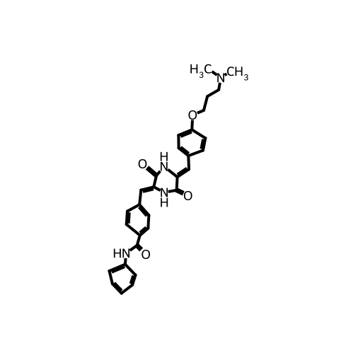 CN(C)CCCOc1ccc(C=c2[nH]c(=O)c(=Cc3ccc(C(=O)Nc4ccccc4)cc3)[nH]c2=O)cc1